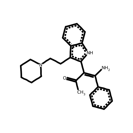 CC(=O)C(=C(N)c1ccccc1)c1[nH]c2ccccc2c1CCN1CCCCC1